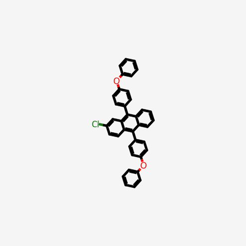 Clc1ccc2c(-c3ccc(Oc4ccccc4)cc3)c3ccccc3c(-c3ccc(Oc4ccccc4)cc3)c2c1